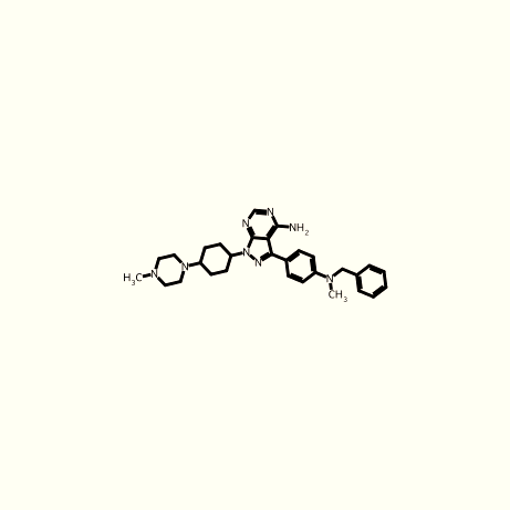 CN1CCN(C2CCC(n3nc(-c4ccc(N(C)Cc5ccccc5)cc4)c4c(N)ncnc43)CC2)CC1